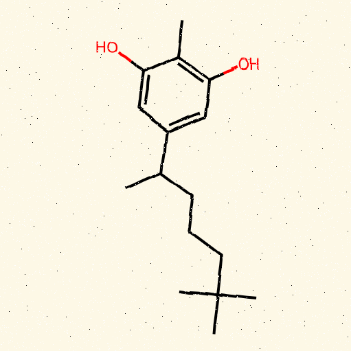 Cc1c(O)cc(C(C)CCCC(C)(C)C)cc1O